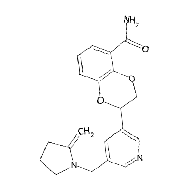 C=C1CCCN1Cc1cncc(C2COc3c(cccc3C(N)=O)O2)c1